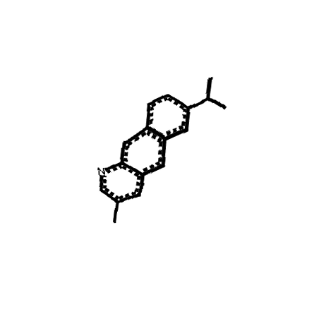 Cc1cnc2cc3ccc(C(C)C)cc3cc2c1